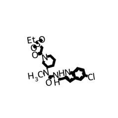 CCS(=O)(=O)CC(=O)N1CCC[C@@H](N(C)C(=O)NCc2cc3cc(Cl)ccc3[nH]2)C1